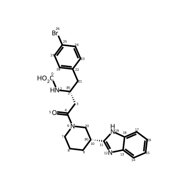 O=C(O)N[C@@H](CC(=O)N1CCC[C@@H](c2nc3ccccc3[nH]2)C1)Cc1ccc(Br)cc1